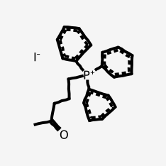 CC(=O)CCC[P+](c1ccccc1)(c1ccccc1)c1ccccc1.[I-]